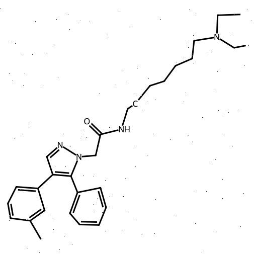 CCN(CC)CCCCCCCNC(=O)Cn1ncc(-c2cccc(C)c2)c1-c1ccccc1